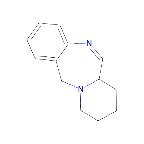 C1=Nc2ccccc2CN2CCCCC12